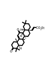 CCOC(=O)/C=C/[C@]12CCC(C)(C)C[C@H]1[C@H]1C(=O)C=C3[C@@]4(C)CCC(=O)C(C)(C)[C@@H]4CC[C@@]3(C)[C@]1(C)CC2